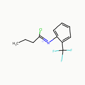 CCC/C(Cl)=N/c1ccccc1C(F)(F)F